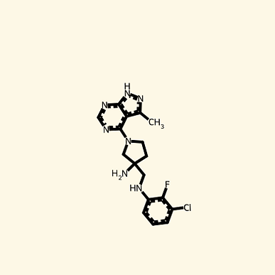 Cc1n[nH]c2ncnc(N3CCC(N)(CNc4cccc(Cl)c4F)C3)c12